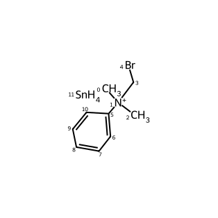 C[N+](C)(CBr)c1ccccc1.[SnH4]